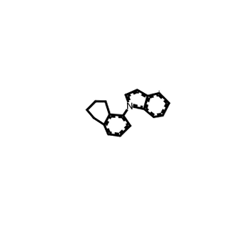 [c]1cccc2c1ccn2-c1cccc2c1CCCC2